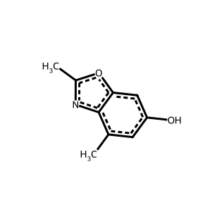 Cc1nc2c(C)cc(O)cc2o1